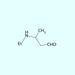 CCNC(C)C[C]=O